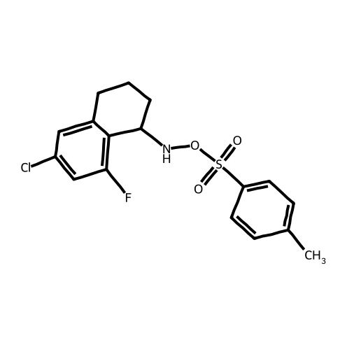 Cc1ccc(S(=O)(=O)ONC2CCCc3cc(Cl)cc(F)c32)cc1